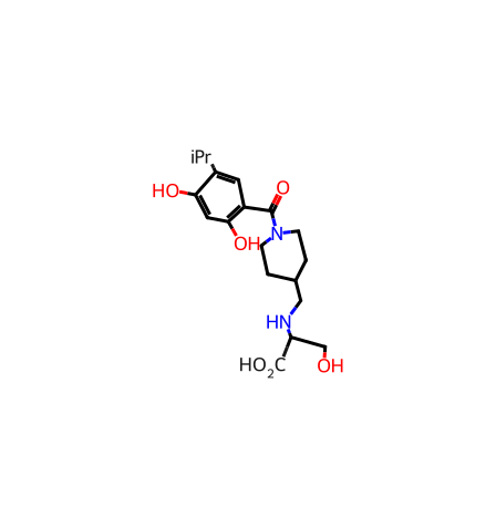 CC(C)c1cc(C(=O)N2CCC(CNC(CO)C(=O)O)CC2)c(O)cc1O